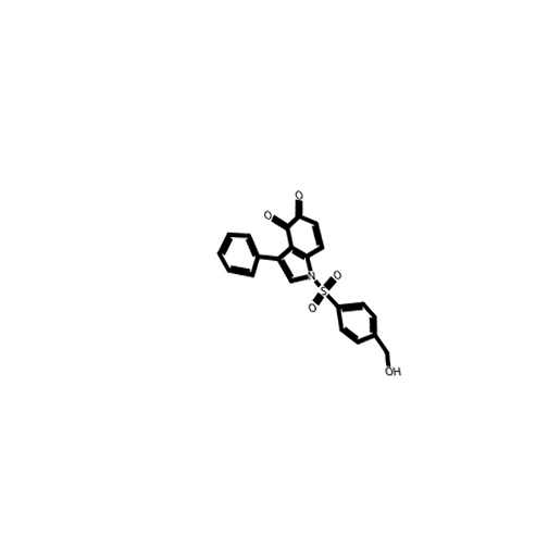 O=C1C=Cc2c(c(-c3ccccc3)cn2S(=O)(=O)c2ccc(CO)cc2)C1=O